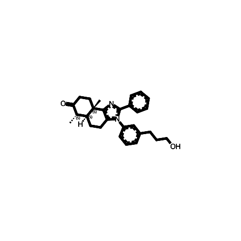 C[C@@H]1C(=O)CC[C@]2(C)c3nc(-c4ccccc4)n(-c4cccc(CCCO)c4)c3CC[C@@H]12